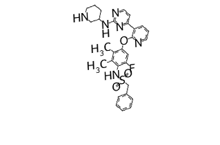 Cc1c(Oc2ncccc2-c2ccnc(NC3CCCNC3)n2)cc(F)c(NS(=O)(=O)Cc2ccccc2)c1C